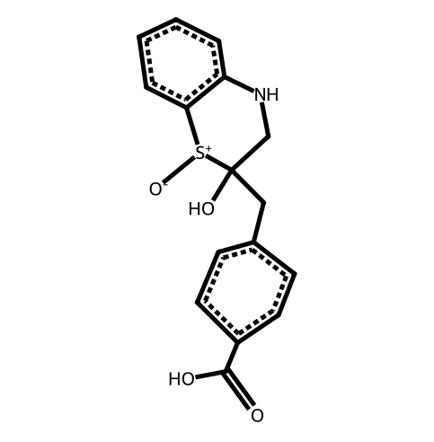 O=C(O)c1ccc(CC2(O)CNc3ccccc3[S+]2[O-])cc1